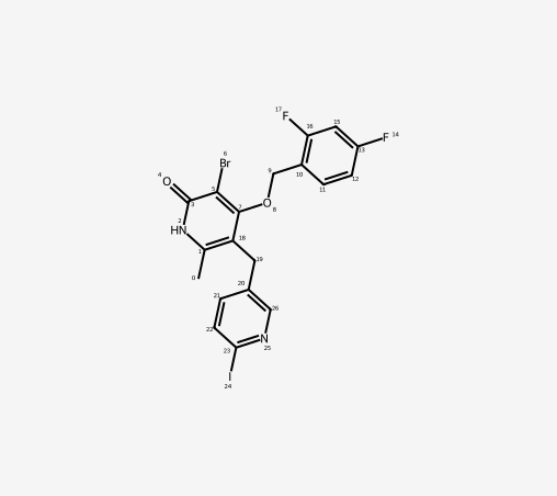 Cc1[nH]c(=O)c(Br)c(OCc2ccc(F)cc2F)c1Cc1ccc(I)nc1